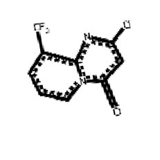 O=c1cc(Cl)nc2c(C(F)(F)F)cccn12